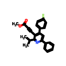 COC(=O)C#Cc1c(-c2ccc(F)cc2)cc(-c2ccccc2)nc1C(C)C